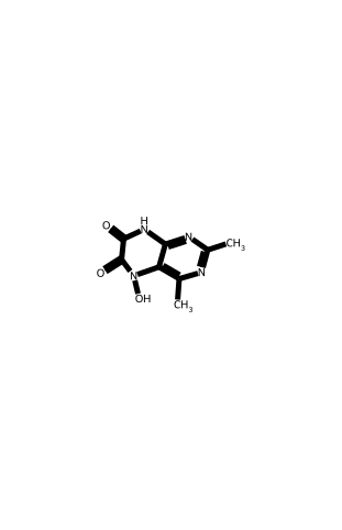 Cc1nc(C)c2c(n1)[nH]c(=O)c(=O)n2O